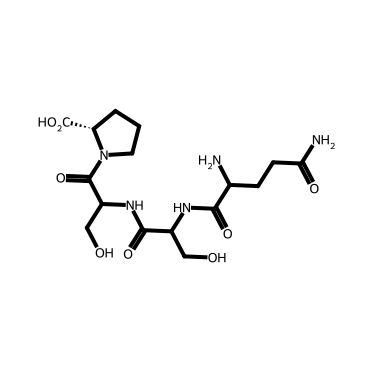 NC(=O)CCC(N)C(=O)NC(CO)C(=O)NC(CO)C(=O)N1CCC[C@H]1C(=O)O